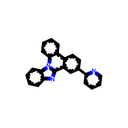 c1ccc(-c2ccc3c4ccccc4n4c5ccccc5nc4c3c2)nc1